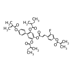 C=C(C)C(=O)Oc1ccc(-c2cc(OC(=O)C(=C)CC)c(OC(=O)/C=C/c3ccc(OC(=O)C(=C)C)cc3F)cc2OC(=O)C(=C)CC)cc1